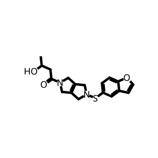 CC(O)CC(=O)N1CC2=C(CN(Sc3ccc4occc4c3)C2)C1